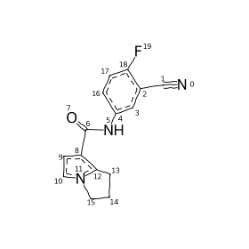 N#Cc1cc(NC(=O)c2ccn3c2CCC3)ccc1F